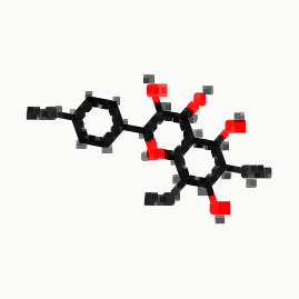 COc1ccc(-c2oc3c(OC)c(O)c(OC)c(O)c3c(=O)c2O)cc1